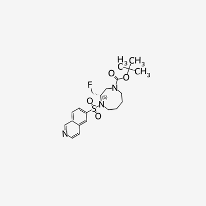 CC(C)(C)OC(=O)N1CCCCN(S(=O)(=O)c2ccc3cnccc3c2)[C@H](CF)C1